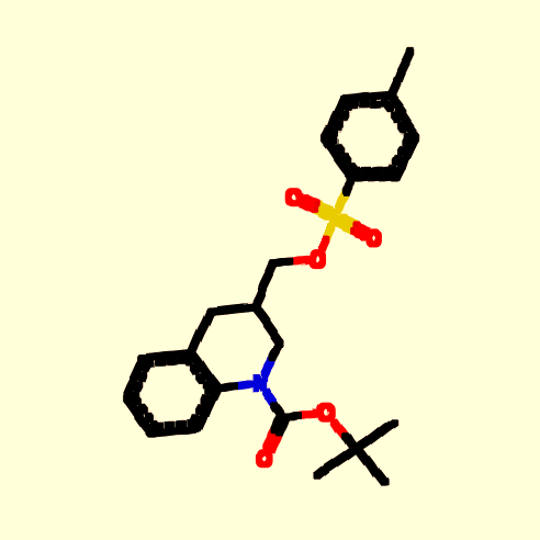 Cc1ccc(S(=O)(=O)OCC2Cc3ccccc3N(C(=O)OC(C)(C)C)C2)cc1